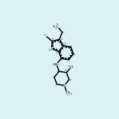 CN1CCC(Nc2cccc3c(CC(F)(F)F)c(I)sc23)C(Cl)C1